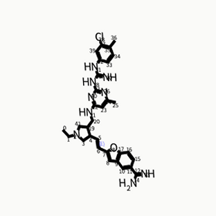 CCN1CC(/C=C/c2cc3cc(C(=N)N)ccc3o2)C(CNc2cc(C)nc(NC(=N)Nc3ccc(C)c(Cl)c3)n2)C1